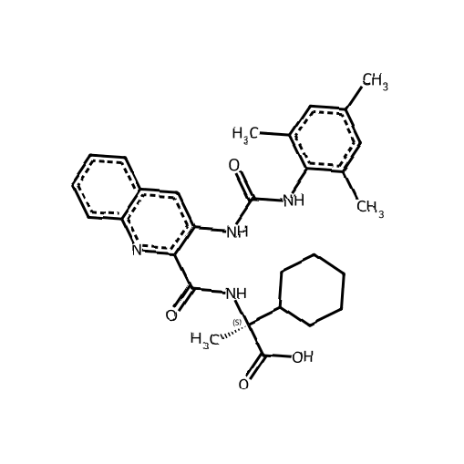 Cc1cc(C)c(NC(=O)Nc2cc3ccccc3nc2C(=O)N[C@](C)(C(=O)O)C2CCCCC2)c(C)c1